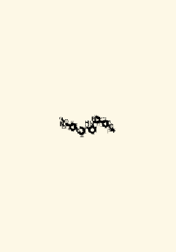 Cc1nnc(-c2ccc(N3CCC[C@H](N[C@@H]4CCCC[C@H]4Nc4cc(-c5ccc(OC(F)F)cc5)ccn4)C3)cc2)o1